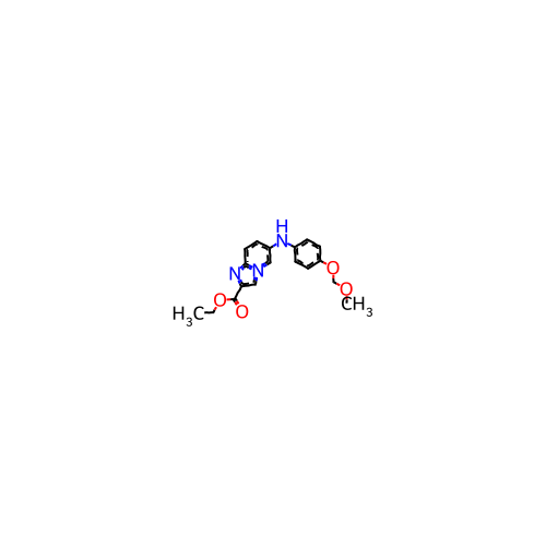 CCOC(=O)c1cn2cc(Nc3ccc(OCOC)cc3)ccc2n1